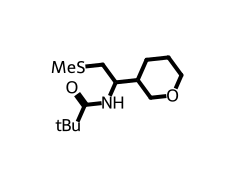 CSCC(NC(=O)C(C)(C)C)C1CCCOC1